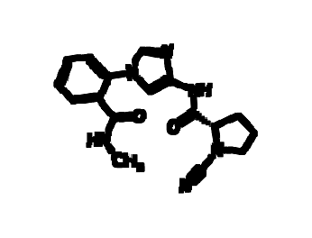 CNC(=O)c1ccccc1-n1cnc(NC(=O)[C@@H]2CCCN2C#N)c1